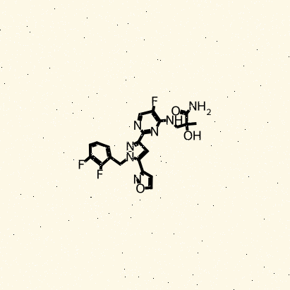 CC(O)(CNc1nc(-c2cc(-c3ccon3)n(Cc3cccc(F)c3F)n2)ncc1F)C(N)=O